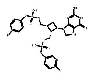 Nc1nc2c(c(=O)[nH]1)NCN2[C@@H]1C[C@H](COP(=O)(O)Oc2ccc(F)cc2)[C@H]1COP(=O)(O)Oc1ccc(F)cc1